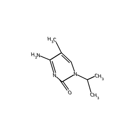 Cc1cn(C(C)C)c(=O)nc1N